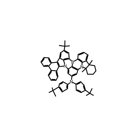 CC(C)(C)c1ccc(N(c2ccc(C(C)(C)C)cc2)c2cc3c4c(c2)-n2c5c(cc(C(C)(C)C)cc5c5c6ccccc6c6ccccc6c52)B4c2cccc4c2N3C2(C)CCCCC42C)cc1